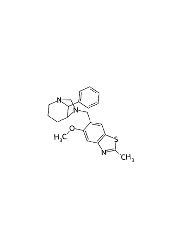 COc1cc2nc(C)sc2cc1CN1CN2CCCC1C2c1ccccc1